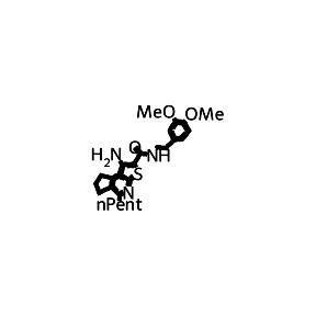 CCCCCc1nc2sc(C(=O)NCCc3ccc(OC)c(OC)c3)c(N)c2c2c1CCC2